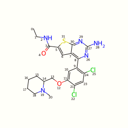 CCNC(=O)c1cc2c(-c3cc(OCC4CCCCN4C)c(Cl)cc3Cl)nc(N)nc2s1